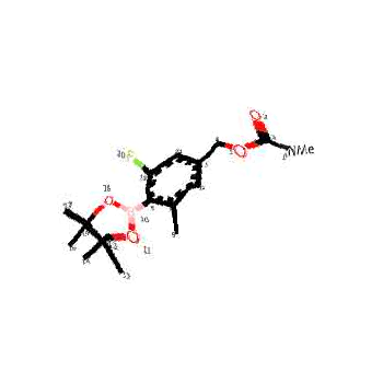 CNC(=O)OCc1cc(C)c(B2OC(C)(C)C(C)(C)O2)c(F)c1